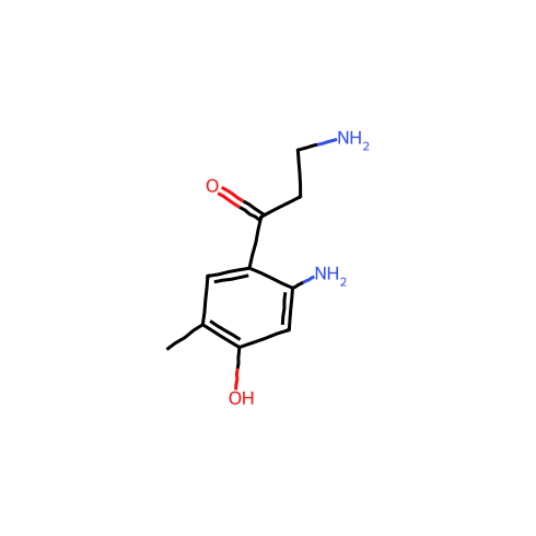 Cc1cc(C(=O)CCN)c(N)cc1O